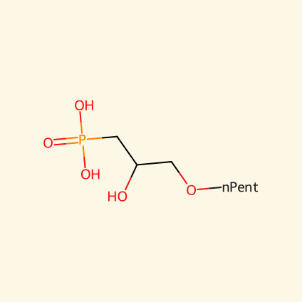 CCCCCOCC(O)CP(=O)(O)O